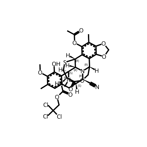 COc1c(C)cc2c(c1O)[C@H]1[C@@H]3[C@@H]4SC[C@H](NC(=O)OCC(Cl)(Cl)Cl)C(=O)OC[C@@H](c5c6c(c(C)c(OC(C)=O)c54)OCO6)N3[C@@H](C#N)[C@H](C2)N1C